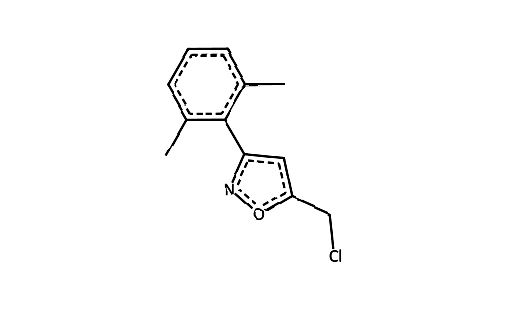 Cc1cccc(C)c1-c1cc(CCl)on1